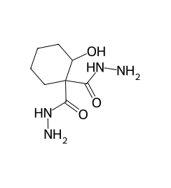 NNC(=O)C1(C(=O)NN)CCCCC1O